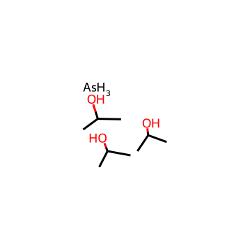 CC(C)O.CC(C)O.CC(C)O.[AsH3]